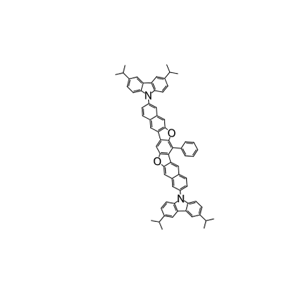 CC(C)c1ccc2c(c1)c1cc(C(C)C)ccc1n2-c1ccc2cc3c(cc2c1)oc1c(-c2ccccc2)c2c(cc13)oc1cc3cc(-n4c5ccc(C(C)C)cc5c5cc(C(C)C)ccc54)ccc3cc12